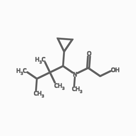 CC(C)C(C)(C)C(C1CC1)N(C)C(=O)CO